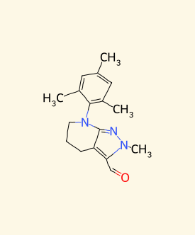 Cc1cc(C)c(N2CCCc3c2nn(C)c3C=O)c(C)c1